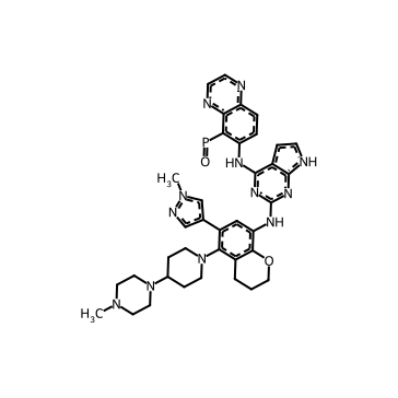 CN1CCN(C2CCN(c3c(-c4cnn(C)c4)cc(Nc4nc(Nc5ccc6nccnc6c5P=O)c5cc[nH]c5n4)c4c3CCCO4)CC2)CC1